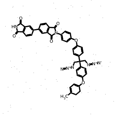 CC1=CC=C(Oc2ccc(C(CN=[N+]=[N-])(CN=[N+]=[N-])c3ccc(Oc4ccc(N5C(=O)c6ccc(-c7ccc8c(c7)C(=O)NC8=O)cc6C5=O)cc4)cc3)cc2)CC1